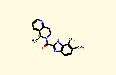 COc1ccc2nc(C(=O)N3CCc4ncccc4[C@H]3C)[nH]c2c1C